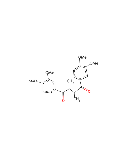 COc1ccc(C(=O)C(C)C(C)C(=O)c2ccc(OC)c(OC)c2)cc1OC